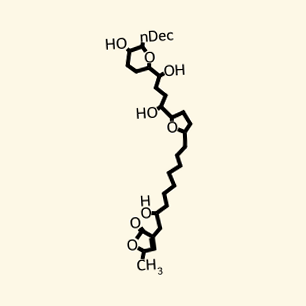 CCCCCCCCCCC1OC(C(O)CCC(O)C2CCC(CCCCCCCC(O)CC3=CC(C)OC3=O)O2)CCC1O